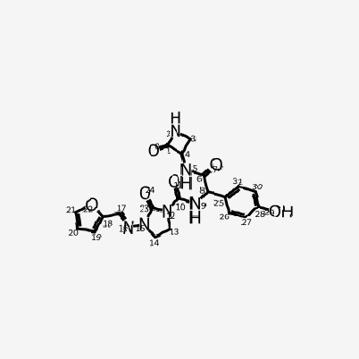 O=C1NCC1NC(=O)C(NC(=O)N1CCN(N=Cc2ccco2)C1=O)c1ccc(O)cc1